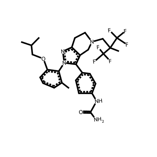 Cc1cccc(OCC(C)C)c1-n1nc2c(c1-c1ccc(NC(N)=O)cc1)CN(CC(C)(C(F)(F)F)C(F)(F)F)CC2